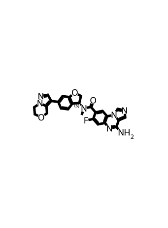 CN(C(=O)c1cc2c(cc1F)nc(N)c1cncn12)[C@@H]1COc2cc(-c3cnn4c3COCC4)ccc21